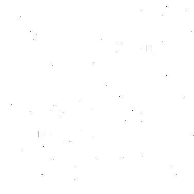 C=Cc1ccc(COC(=O)C(O)(C(F)(F)F)C(F)(F)F)cc1